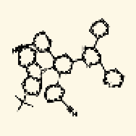 CC(C)(C)c1ccc2c(c1)c1ccccc1n2-c1c(-c2cccc(C#N)c2)cc(-c2nc(-c3ccccc3)cc(-c3ccccc3)n2)cc1-c1cccc(C#N)c1